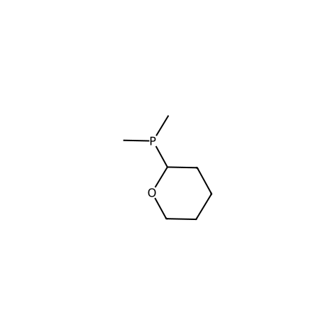 CP(C)C1CCCCO1